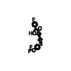 O=C(C(CO)c1ccc(F)cc1)N1CC(=C2CN(Sc3ccc(OC(F)F)cc3)C2)C1